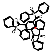 O=C(c1cc(C(=O)P(=O)(c2ccccc2)c2ccccc2)cc(C(=O)P(=O)(c2ccccc2)c2ccccc2)c1)P(=O)(c1ccccc1)c1ccccc1